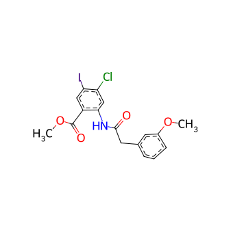 COC(=O)c1cc(I)c(Cl)cc1NC(=O)Cc1cccc(OC)c1